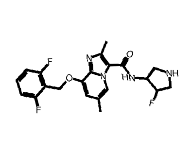 Cc1cc(OCc2c(F)cccc2F)c2nc(C)c(C(=O)NC3CNCC3F)n2c1